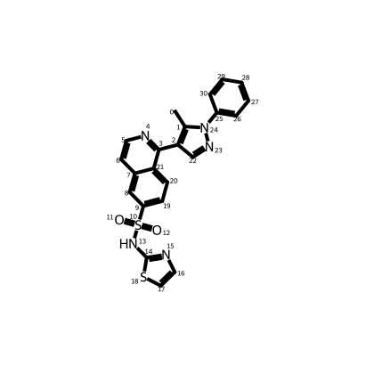 Cc1c(-c2nccc3cc(S(=O)(=O)Nc4nccs4)ccc23)cnn1-c1ccccc1